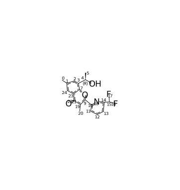 Cc1cc([C@@H](C)O)c2oc(-c3cccc(C(F)F)n3)c(C)c(=O)c2c1